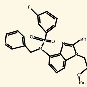 CCCc1nc2c(N(Cc3ccccc3)S(=O)(=O)c3cccc(F)c3)cccc2n1CC(=O)OC(C)(C)C